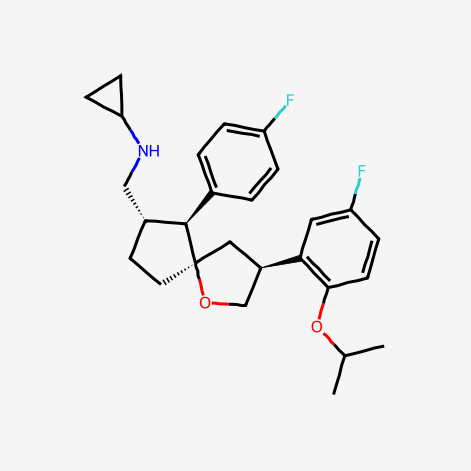 CC(C)Oc1ccc(F)cc1[C@H]1CO[C@]2(CC[C@H](CNC3CC3)[C@H]2c2ccc(F)cc2)C1